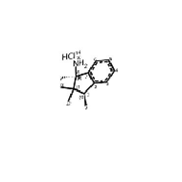 C[C@@H]1c2ccccc2[C@](C)(N)C1(C)C.Cl